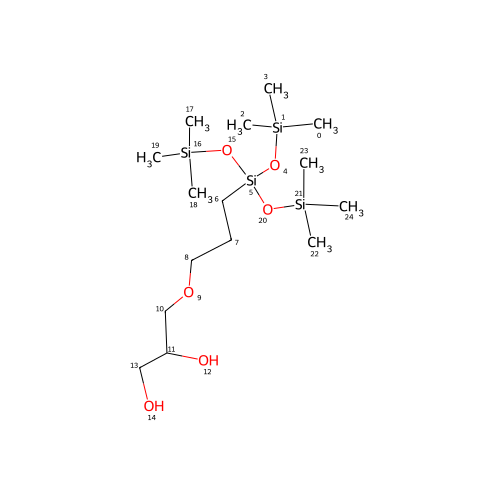 C[Si](C)(C)O[Si](CCCOCC(O)CO)(O[Si](C)(C)C)O[Si](C)(C)C